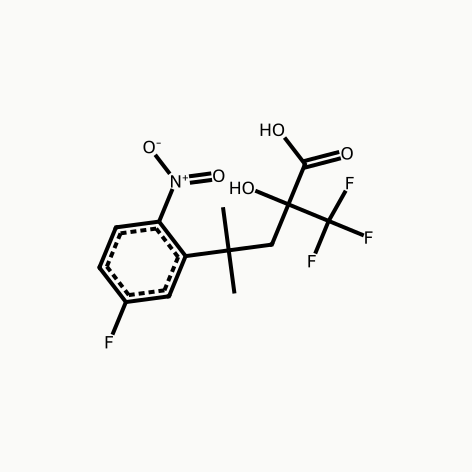 CC(C)(CC(O)(C(=O)O)C(F)(F)F)c1cc(F)ccc1[N+](=O)[O-]